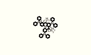 CC1(C)c2cc(N(c3ccccc3)c3ccccc3)ccc2N2c3c1cc(N(c1ccccc1)c1ccccc1)cc3C(C)(C)C1C=C(N(c3ccccc3)c3ccccc3)C=CC12